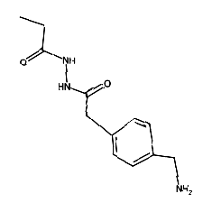 CCC(=O)NNC(=O)Cc1ccc(CN)cc1